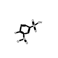 [O]c1ccc(S(=O)(=O)O)cc1[N+](=O)[O-]